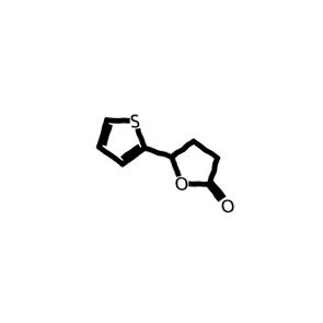 O=C1CCC(c2cccs2)O1